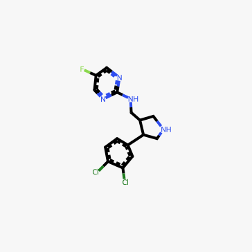 Fc1cnc(NCC2CNCC2c2ccc(Cl)c(Cl)c2)nc1